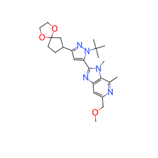 COCc1cc2nc(-c3cc(C4CCC5(C4)OCCO5)nn3C(C)(C)C)n(C)c2c(C)n1